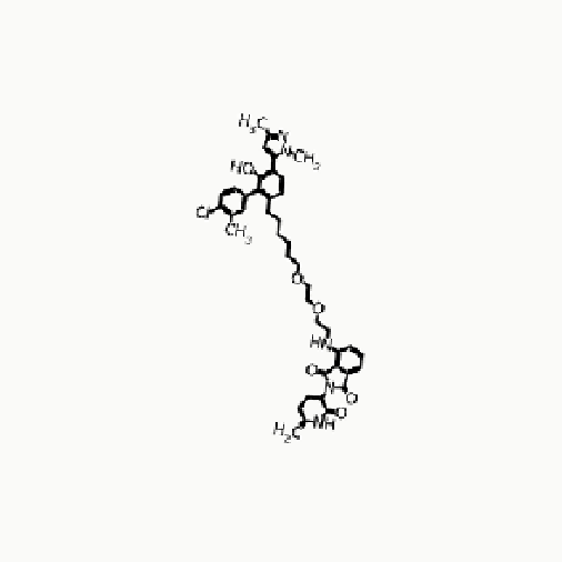 C=C1CCC(N2C(=O)c3cccc(NCCOCCOCCCCCCc4ccc(-c5cc(C)nn5C)c(O)c4-c4ccc(Cl)c(C)c4)c3C2=O)C(=O)N1